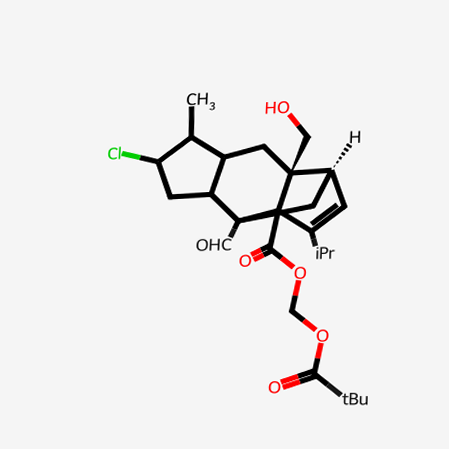 CC(C)C1=C[C@H]2CC3(C=O)C4CC(Cl)C(C)C4C[C@@]2(CO)C13C(=O)OCOC(=O)C(C)(C)C